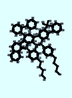 CCCCCc1ccc(N2B3c4cc(CCCCC)ccc4-n4c5c3c(cc(-c3ccccc3-c3ccccc3)c5c3ccc5ccccc5c34)-c3cc4c(cc32)-c2ccccc2C4(C)C)cc1